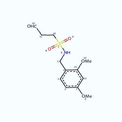 COc1ccc(CNS(=O)(=O)CCC=O)c(OC)c1